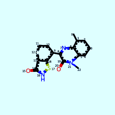 Cc1cccc2c1nc(-c1cccc3c(=O)[nH]sc13)c(=O)n2C